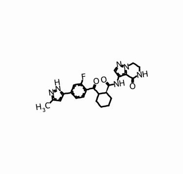 Cc1cc(-c2ccc(C(=O)C3CCCC[C@@H]3C(=O)Nc3cnn4c3C(=O)NCC4)c(F)c2)[nH]n1